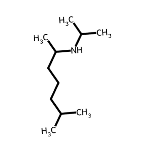 CC(C)CCCC(C)NC(C)C